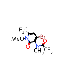 COn1c(C(F)(F)F)cc(Br)c(N(C)C(=O)C(F)(F)F)c1=O